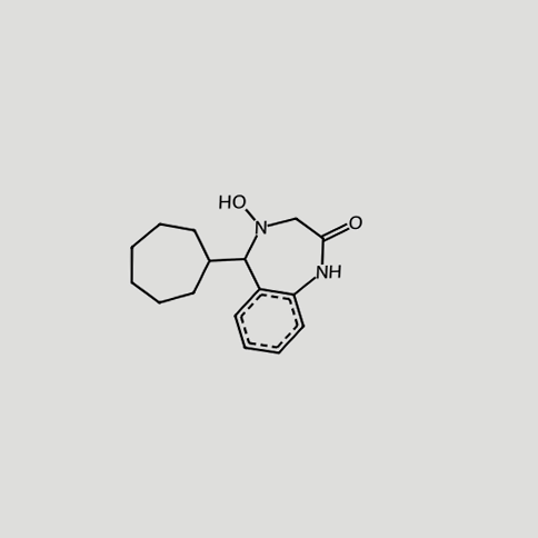 O=C1CN(O)C(C2CCCCCC2)c2ccccc2N1